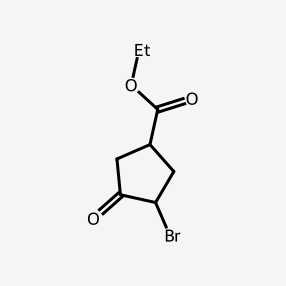 CCOC(=O)C1CC(=O)C(Br)C1